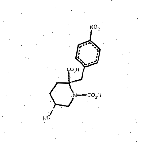 O=C(O)N1CC(O)CCC1(Cc1ccc([N+](=O)[O-])cc1)C(=O)O